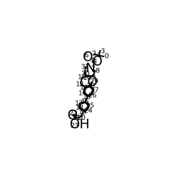 CC(C)(C)OC(=O)N1CCC2(CCc3cc(-c4ccc(CC(=O)O)cc4)ccc3O2)CC1